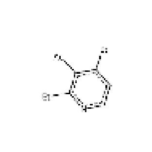 CCc1ccnc(CC)c1C(C)=O